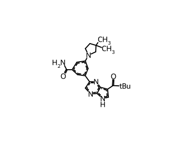 CC1(C)CCN(c2cc(C(N)=O)cc(-c3cnc4[nH]cc(C(=O)C(C)(C)C)c4n3)c2)C1